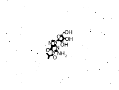 CC(C)C(=O)n1c(N)nc2c(ncn2[C]2O[C@H](CO)[C@@H](O)[C@H]2O)c1=O